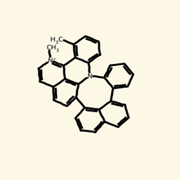 Cc1cccc2c1-c1c3c4c(ccc3cc[n+]1C)-c1cccc3cccc(c13)-c1ccccc1N24